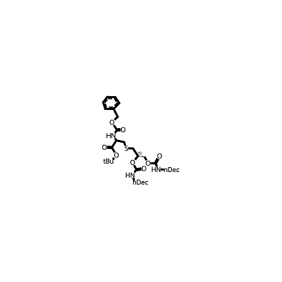 CCCCCCCCCCNC(=O)OC[C@@H](CSCC(NC(=O)OCc1ccccc1)C(=O)OC(C)(C)C)OC(=O)NCCCCCCCCCC